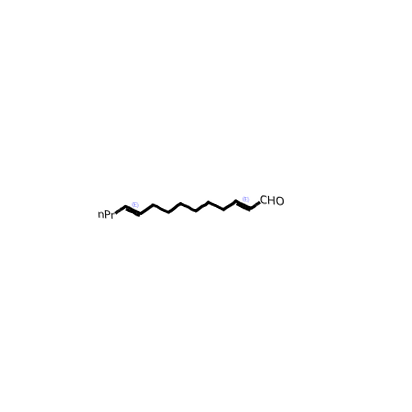 CCC/C=C/CCCCCC/C=C/C=O